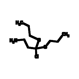 CCCOC(Cl)(CC[SiH3])OCCC